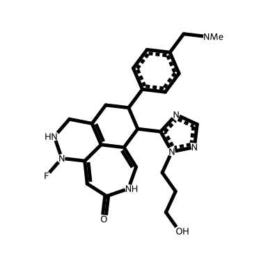 CNCc1ccc(C2CC3=C4C(=CNC(=O)C=C4N(F)NC3)C2c2ncnn2CCCO)cc1